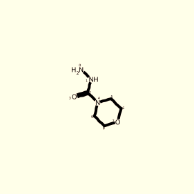 NNC(=O)N1CCOCC1